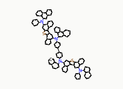 c1ccc(N(c2cccc3ccccc23)c2cc3c(sc4cc(N(c5ccc(-c6ccc(N(c7cc8ccccc8c8ccccc78)c7cc8c(sc9cc(N(c%10ccccc%10)c%10cc%11ccccc%11c%11ccccc%10%11)c%10ccccc%10c98)c8ccccc78)cc6)cc5)c5cccc6ccccc56)c5ccccc5c43)c3ccccc23)cc1